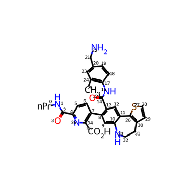 CCCNC(=O)c1ccc(-c2cc3c(cc2C(=O)Nc2ccc(CN)cc2C)-c2sccc2CCN3)c(C(=O)O)n1